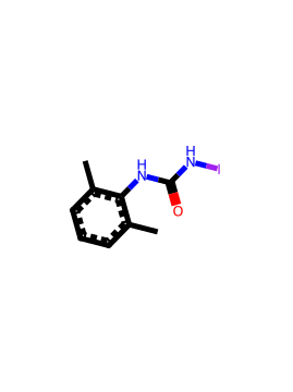 Cc1cccc(C)c1NC(=O)NI